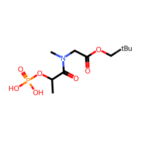 CC(OP(=O)(O)O)C(=O)N(C)CC(=O)OCC(C)(C)C